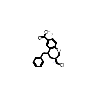 CC(=O)c1ccc2c(c1)C(Cc1ccccc1)C/C(=C/Cl)CO2